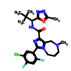 Cc1nnc([C@@H](NC(=O)c2nc(-c3cc(Cl)c(F)cc3F)n3c2CN(C)CCC3)C(C)(C)C)o1